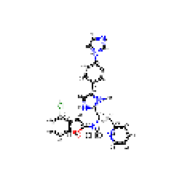 Cn1c(-c2ccc(-n3ccnc3)cc2)cnc1[C@H](Cc1ccccn1)N(C=O)c1cc2c(Cl)cccc2o1